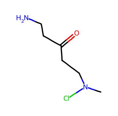 CN(Cl)CCC(=O)CCN